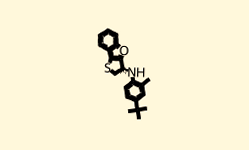 Cc1cc(C(C)(C)C)ccc1N[C@H]1CSc2c1oc1ccccc21